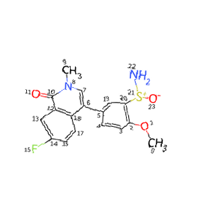 COc1ccc(-c2cn(C)c(=O)c3cc(F)ccc23)cc1[S+](N)[O-]